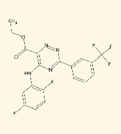 CCOC(=O)c1nnc(-c2cccc(C(F)(F)F)c2)nc1Nc1cc(F)ccc1F